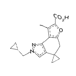 Cc1c(C(=O)O)oc2c1-c1nn(CC3CC3)cc1C1(CC1)C2